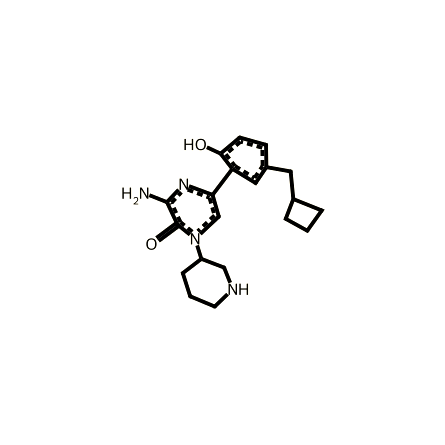 Nc1nc(-c2cc(CC3CCC3)ccc2O)cn(C2CCCNC2)c1=O